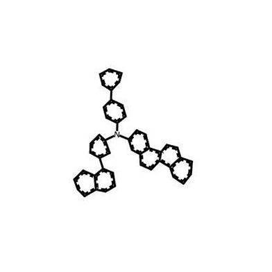 c1ccc(-c2ccc(N(c3cccc(-c4cccc5ccccc45)c3)c3ccc4c(ccc5c6ccccc6ccc45)c3)cc2)cc1